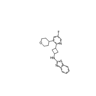 Fc1cnc(C2CC(Nc3nc4ccccc4s3)C2)c(C2CCOCC2)c1